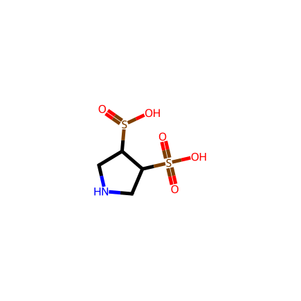 O=S(O)C1CNCC1S(=O)(=O)O